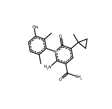 Cc1ccc(O)c(C)c1-n1c(N)c(C(N)=O)cc(C2(C)CC2)c1=O